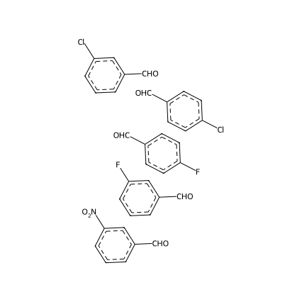 O=Cc1ccc(Cl)cc1.O=Cc1ccc(F)cc1.O=Cc1cccc(Cl)c1.O=Cc1cccc(F)c1.O=Cc1cccc([N+](=O)[O-])c1